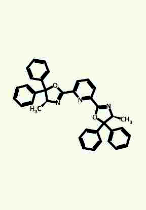 C[C@@H]1N=C(c2cccc(C3=N[C@@H](C)C(c4ccccc4)(c4ccccc4)O3)n2)OC1(c1ccccc1)c1ccccc1